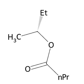 [CH2]C[C@@H](C)OC(=O)CCC